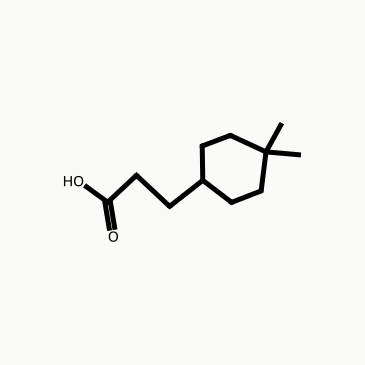 CC1(C)CCC(CCC(=O)O)CC1